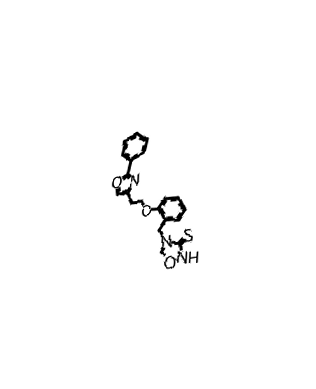 S=C1NOCN1Cc1ccccc1OCCc1coc(-c2ccccc2)n1